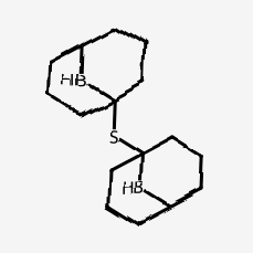 B1C2CCCC1(SC13BC(CCC1)CCC3)CCC2